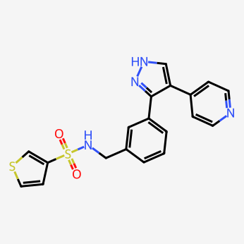 O=S(=O)(NCc1cccc(-c2n[nH]cc2-c2ccncc2)c1)c1ccsc1